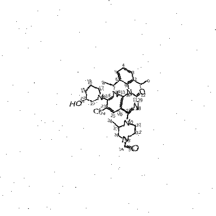 CCc1cccc(CC)c1N(C=O)c1nc(N2CCCC(O)C2)c(Cl)cc1/C(=N\C)N1CCN(C=O)CC1C